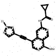 CCn1ncc(C#Cc2cnc(NC)c3cnc(NC(=O)C4CC4)cc23)n1